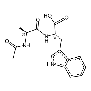 CC(=O)N[C@@H](C)C(=O)N[C@@H](Cc1c[nH]c2ccccc12)C(=O)O